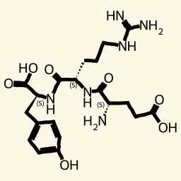 N=C(N)NCCC[C@H](NC(=O)[C@@H](N)CCC(=O)O)C(=O)N[C@@H](Cc1ccc(O)cc1)C(=O)O